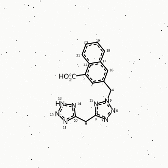 O=C(O)c1cc(Cn2nnc(Cc3nn[nH]n3)n2)cc2ccccc12